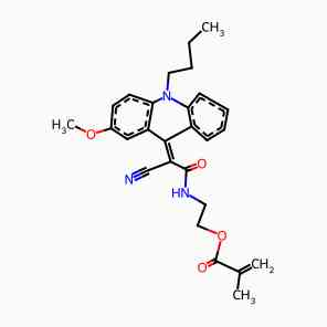 C=C(C)C(=O)OCCNC(=O)/C(C#N)=C1\c2ccccc2N(CCCC)c2ccc(OC)cc21